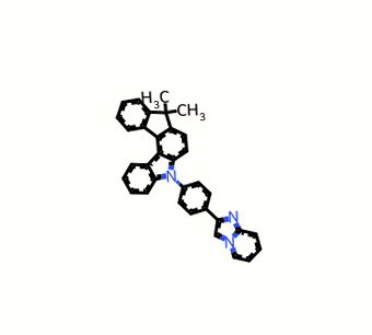 CC1(C)c2ccccc2-c2c1ccc1c2c2ccccc2n1-c1ccc(-c2cn3ccccc3n2)cc1